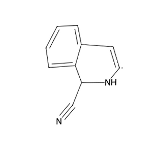 N#CC1N[C]=Cc2ccccc21